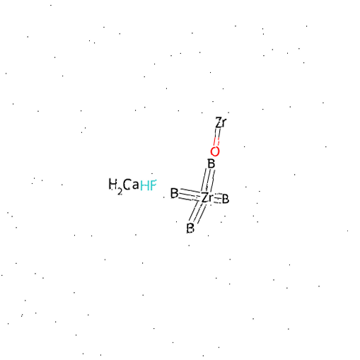 F.[B]#[Zr](#[B])(#[B])#[B].[CaH2].[O]=[Zr]